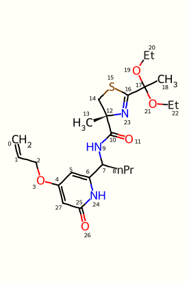 C=CCOc1cc(C(CCC)NC(=O)[C@]2(C)CSC(C(C)(OCC)OCC)=N2)[nH]c(=O)c1